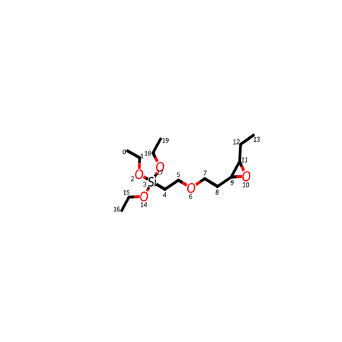 CCO[Si](CCOCCC1OC1CC)(OCC)OCC